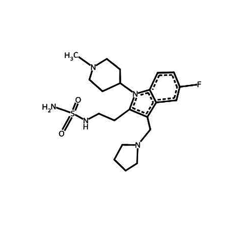 CN1CCC(n2c(CCNS(N)(=O)=O)c(CN3CCCC3)c3cc(F)ccc32)CC1